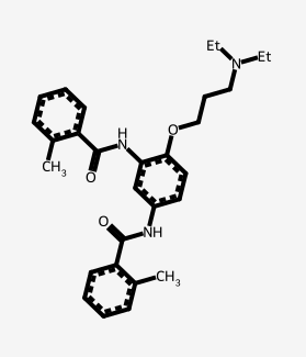 CCN(CC)CCCOc1ccc(NC(=O)c2ccccc2C)cc1NC(=O)c1ccccc1C